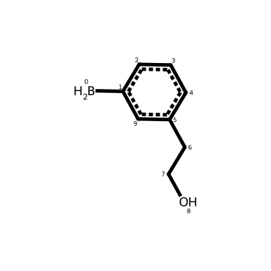 Bc1cccc(CCO)c1